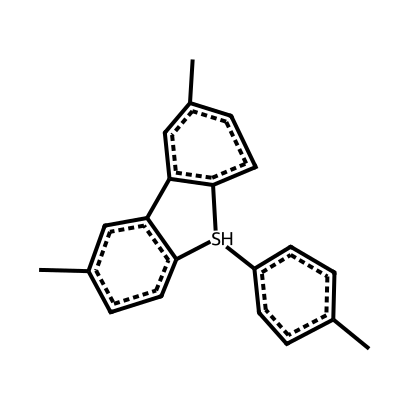 Cc1ccc([SH]2c3ccc(C)cc3-c3cc(C)ccc32)cc1